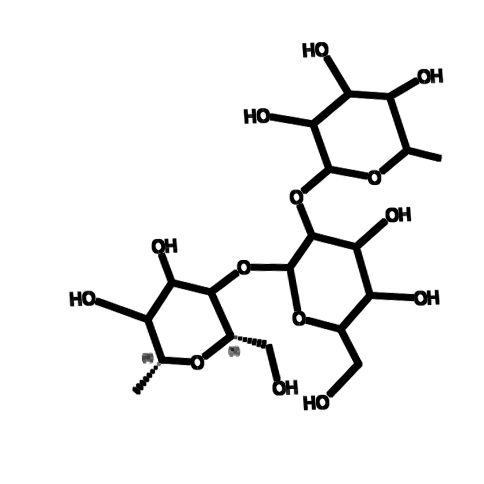 CC1OC(OC2C(OC3C(O)C(O)[C@@H](C)O[C@H]3CO)OC(CO)C(O)C2O)C(O)C(O)C1O